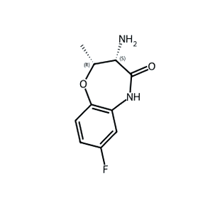 C[C@H]1Oc2ccc(F)cc2NC(=O)[C@H]1N